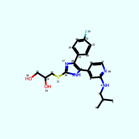 CC(C)CNc1cc(-c2[nH]c(SCC(O)CO)nc2-c2ccc(F)cc2)ccn1